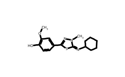 COc1cc(-c2nn(C)/c(=N\C3CCCCC3)s2)ccc1O